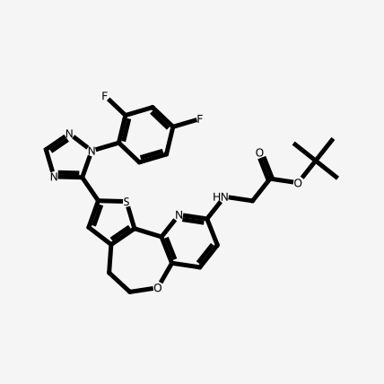 CC(C)(C)OC(=O)CNc1ccc2c(n1)-c1sc(-c3ncnn3-c3ccc(F)cc3F)cc1CCO2